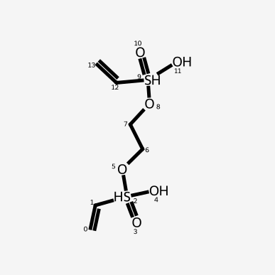 C=C[SH](=O)(O)OCCO[SH](=O)(O)C=C